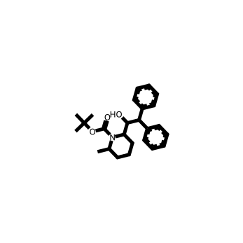 CC1CCCC(C(O)C(c2ccccc2)c2ccccc2)N1C(=O)OC(C)(C)C